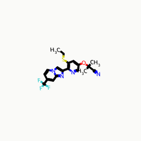 CCSc1cc(OC(C)(C)C#N)cnc1-c1cn2ccc(C(F)(F)F)cc2n1